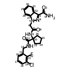 NC(=O)c1nn(CC(=O)NC2(C(=O)NCc3cccc(Cl)c3F)CCCC2)c2ccccc12